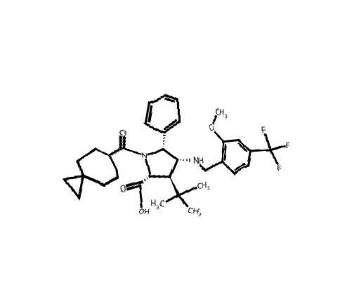 COc1cc(C(F)(F)F)ccc1CN[C@@H]1[C@@H](C(C)(C)C)[C@H](C(=O)O)N(C(=O)C2CCC3(CC2)CC3)[C@@H]1c1ccccc1